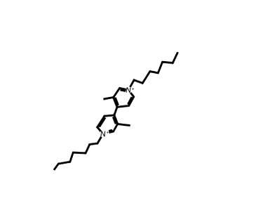 CCCCCCC[n+]1ccc(-c2cc[n+](CCCCCCC)cc2C)c(C)c1